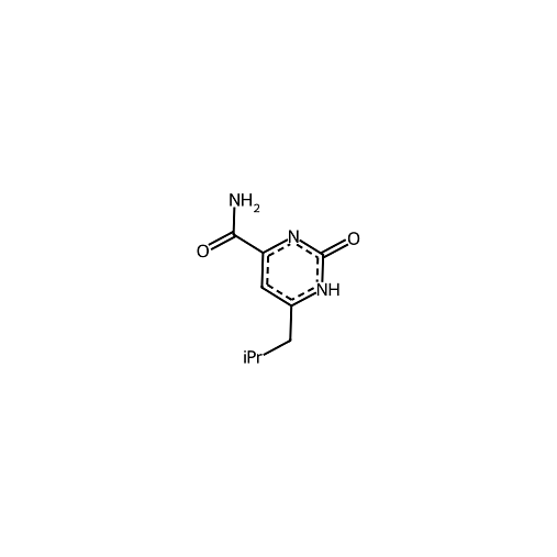 CC(C)Cc1cc(C(N)=O)nc(=O)[nH]1